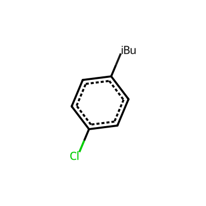 C[CH]C(C)c1ccc(Cl)cc1